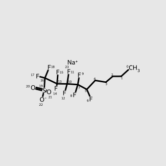 CCCCCC(F)C(F)(F)C(F)(F)C(F)(F)C(F)(F)S(=O)(=O)[O-].[Na+]